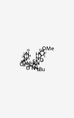 COc1ccc(C(=O)Nc2nc3c(s2)c(C(=O)N[C@@H]2COC[C@H]2N2CCN(C)CC2)nn3C(C)(C)C)cc1